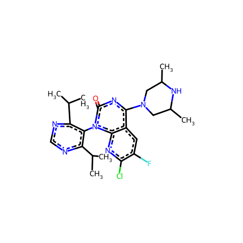 CC1CN(c2nc(=O)n(-c3c(C(C)C)ncnc3C(C)C)c3nc(Cl)c(F)cc23)CC(C)N1